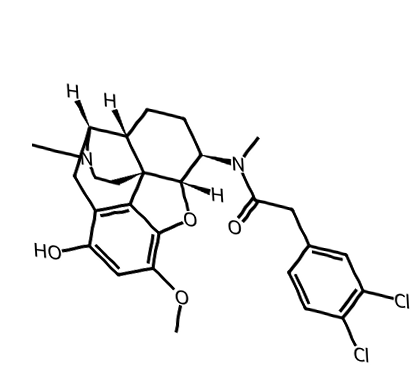 COc1cc(O)c2c3c1O[C@H]1[C@H](N(C)C(=O)Cc4ccc(Cl)c(Cl)c4)CC[C@H]4[C@@H](C2)N(C)CC[C@@]341